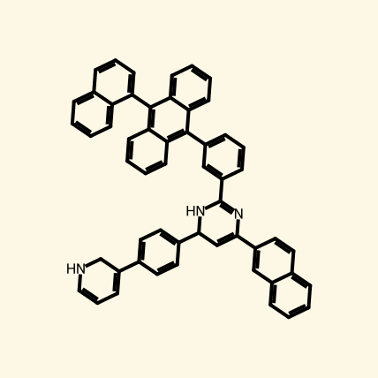 C1=CNCC(c2ccc(C3C=C(c4ccc5ccccc5c4)N=C(c4cccc(-c5c6ccccc6c(-c6cccc7ccccc67)c6ccccc56)c4)N3)cc2)=C1